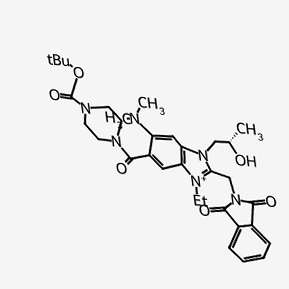 CC[n+]1c(CN2C(=O)c3ccccc3C2=O)n(C[C@H](C)O)c2cc(N(C)C)c(C(=O)N3CCN(C(=O)OC(C)(C)C)CC3)cc21